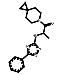 CC(Nc1noc(-c2ccccc2)n1)C(=O)N1CCC2(CC1)CC2